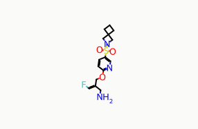 NC/C(=C/F)COc1ccc(S(=O)(=O)N2CC3(CCC3)C2)cn1